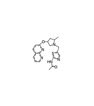 CC(=O)Nc1ncc(CN2CC(Oc3ccc4cccnc4n3)CC2C)s1